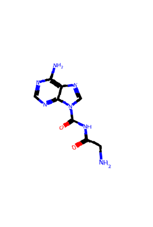 NCC(=O)NC(=O)n1cnc2c(N)ncnc21